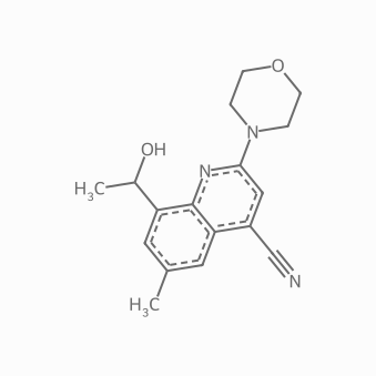 Cc1cc(C(C)O)c2nc(N3CCOCC3)cc(C#N)c2c1